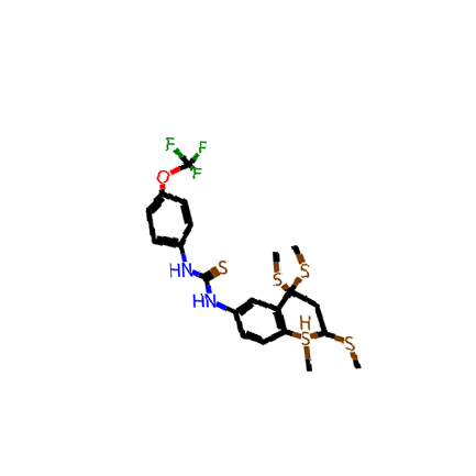 CSC1CC(SC)(SC)c2cc(NC(=S)Nc3ccc(OC(F)(F)F)cc3)ccc2[SH]1C